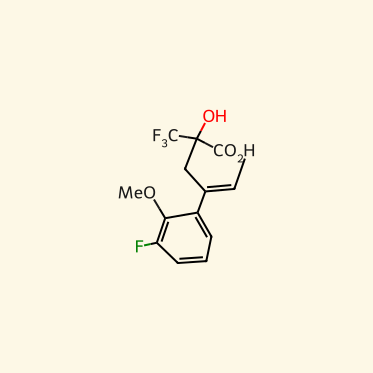 CC=C(CC(O)(C(=O)O)C(F)(F)F)c1cccc(F)c1OC